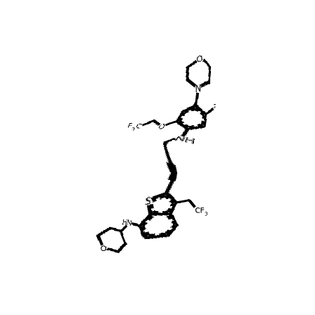 Fc1cc(NCC#Cc2sc3c(NC4CCOCC4)cccc3c2CC(F)(F)F)c(OCC(F)(F)F)cc1N1CCOCC1